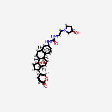 C[C@]12CC[C@H](NC(=O)NCCN3CCC(O)C3)C[C@H]1CC[C@@H]1[C@@H]2CC[C@]2(C)[C@@H](c3ccc(=O)oc3)CC[C@]12O